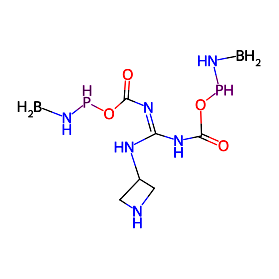 BNPOC(=O)/N=C(/NC(=O)OPNB)NC1CNC1